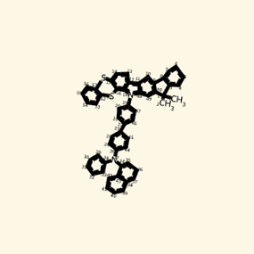 CC1(C)c2ccccc2-c2cc3c4ccc5c(c4n(-c4ccc(-c6ccc(N(c7ccccc7)c7cccc8ccccc78)cc6)cc4)c3cc21)Sc1ccccc1S5